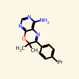 CC(C)c1ccc(C2=Nc3c(N)ncnc3OC2(C)C)cc1